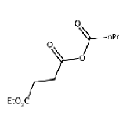 CCCC(=O)OC(=O)CCC(=O)OCC